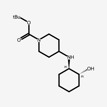 CC(C)(C)OC(=O)N1CCC(N[C@@H]2CCCC[C@H]2O)CC1